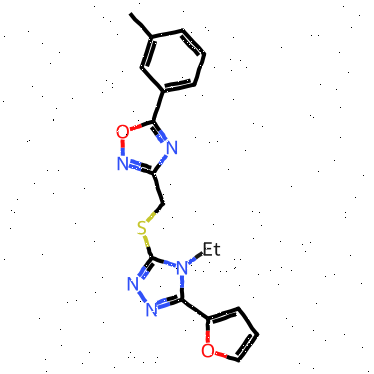 CCn1c(SCc2noc(-c3cccc(C)c3)n2)nnc1-c1ccco1